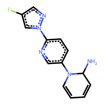 NC1C=CC=CN1c1ccc(-n2cc(F)cn2)nc1